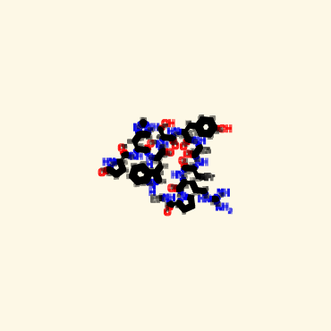 CCNC(=O)[C@@H]1CCCN1C(=O)[C@H](CCCNC(=N)N)NC(=O)[C@H](CC(C)C)NC(=O)[C@@H](C)NC(=O)[C@H](Cc1ccc(O)cc1)NC(=O)[C@H](CO)NC(=O)[C@H](Cc1c[nH]c2ccccc12)NC(=O)[C@H](Cc1c[nH]cn1)NC(=O)[C@@H]1CCC(=O)N1